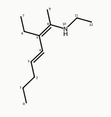 CCC/C=C/C(CC)=C(/C)NCC